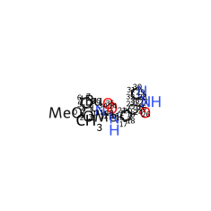 COC(C)(OC)c1ccccc1CN(CC(=O)Nc1ccc2c(c1)CC1(C2)C(=O)Nc2ncccc21)C(=O)C(C)(C)C